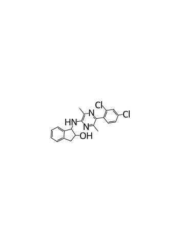 Cc1nc(-c2ccc(Cl)cc2Cl)c(C)nc1NC1c2ccccc2CC1O